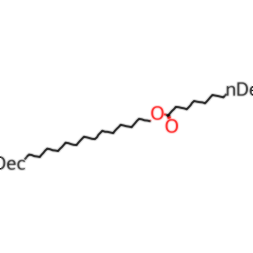 CCCCCCCCCCCCCCCCCCCCCCCCOC(=O)CCCCCCCCCCCCCCCC